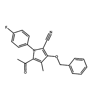 CC(=O)c1c(C)c(OCc2ccccc2)c(C#N)n1-c1ccc(F)cc1